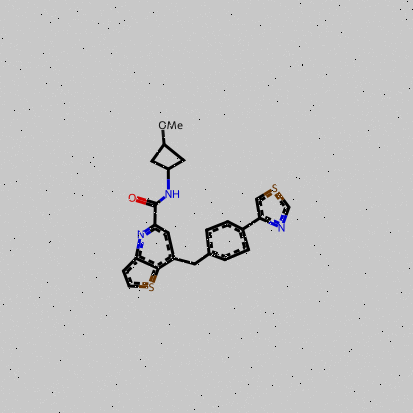 COC1CC(NC(=O)c2cc(Cc3ccc(-c4cscn4)cc3)c3sccc3n2)C1